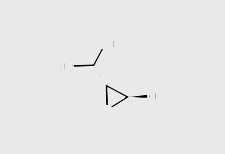 CC(O)[C@H]1O[C@@H]1C